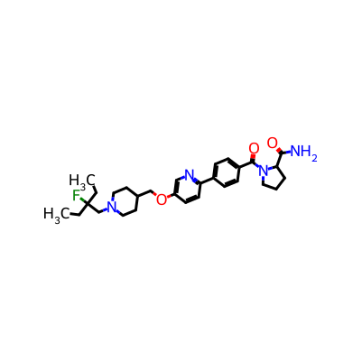 CCC(F)(CC)CN1CCC(COc2ccc(-c3ccc(C(=O)N4CCCC4C(N)=O)cc3)nc2)CC1